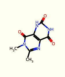 Cc1nc2c(=O)[nH]c(=O)[nH]c2c(=O)n1C